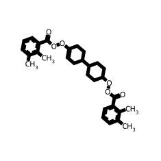 Cc1cccc(C(=O)OOC2=CCC(C3CCC(OOC(=O)c4cccc(C)c4C)CC3)CC2)c1C